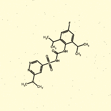 CC(C)c1cc(F)cc(C(C)C)c1NC(=O)NS(=O)(=O)c1cnnc(N(C)C)c1